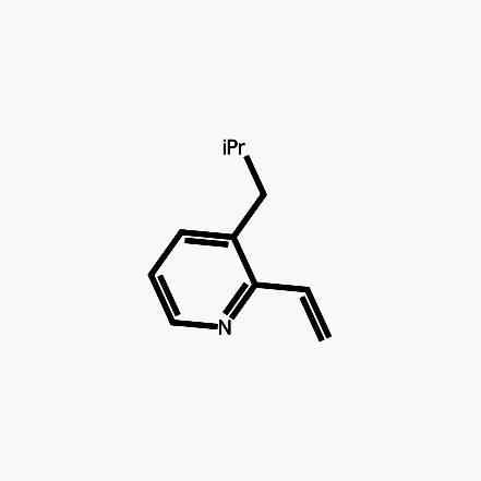 C=Cc1ncccc1CC(C)C